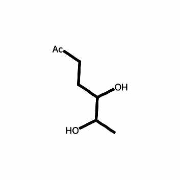 CC(=O)CCC(O)C(C)O